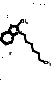 CCCCCCC[n+]1c(C)sc2ccccc21.[I-]